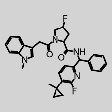 Cn1cc(CC(=O)N2CC(F)CC2C(=O)NC(c2ccccc2)c2ccc(C3(C)CC3)c(F)n2)c2ccccc21